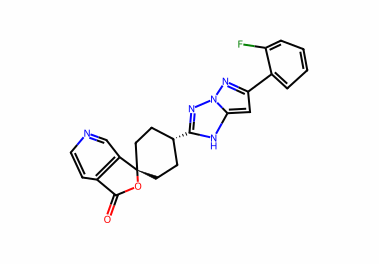 O=C1O[C@]2(CC[C@@H](c3nn4nc(-c5ccccc5F)cc4[nH]3)CC2)c2cnccc21